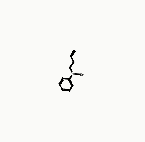 C=CCCN(CC)c1ccccc1